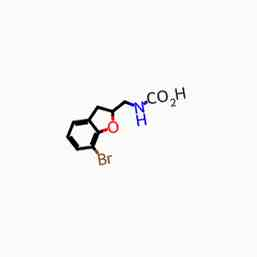 O=C(O)NCC1Cc2cccc(Br)c2O1